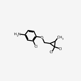 CC1C(COc2ccc(N)cc2Cl)C1(Cl)Cl